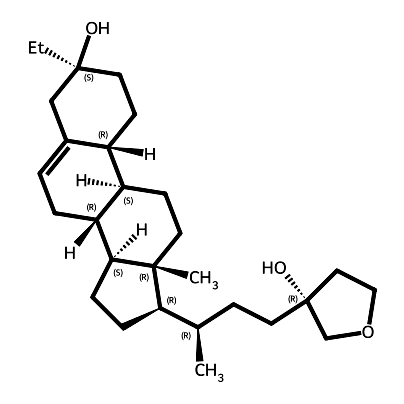 CC[C@]1(O)CC[C@H]2C(=CC[C@@H]3[C@@H]2CC[C@]2(C)[C@@H]([C@H](C)CC[C@@]4(O)CCOC4)CC[C@@H]32)C1